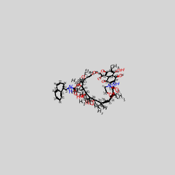 CO[C@H]1/C=C/O[C@@]2(C)Oc3c(C)c(O)c4c(c3C2=O)C(=O)C(N2CCOCC2)=C(NC(=O)/C(C)=C\C=C\[C@H](C)[C@H](O)[C@@H](C)[C@@H](O)[C@@H](C)[C@H](OC(=O)NCc2cccc3ccccc23)[C@@H]1C)C4=O